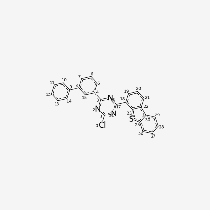 Clc1nc(-c2cccc(-c3ccccc3)c2)nc(-c2cccc3c2sc2ccccc23)n1